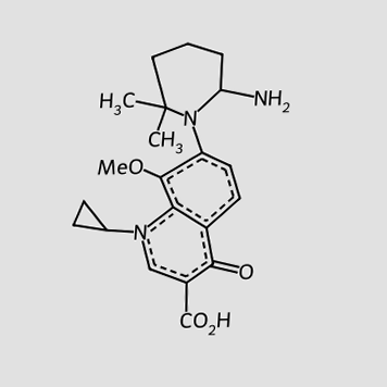 COc1c(N2C(N)CCCC2(C)C)ccc2c(=O)c(C(=O)O)cn(C3CC3)c12